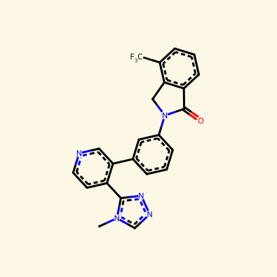 Cn1cnnc1-c1ccncc1-c1cccc(N2Cc3c(cccc3C(F)(F)F)C2=O)c1